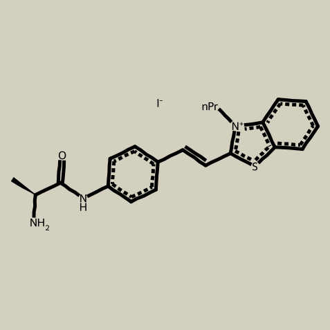 CCC[n+]1c(C=Cc2ccc(NC(=O)[C@H](C)N)cc2)sc2ccccc21.[I-]